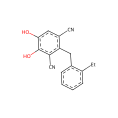 CCc1ccccc1Cc1c(C#N)cc(O)c(O)c1C#N